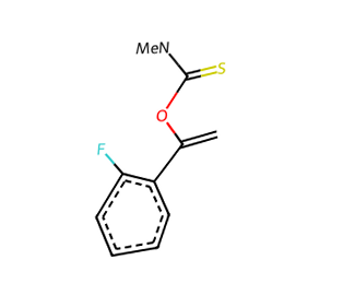 C=C(OC(=S)NC)c1ccccc1F